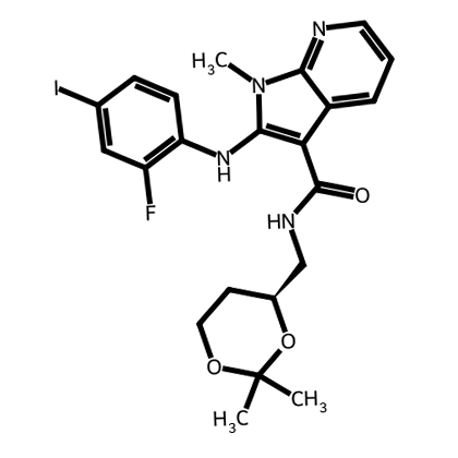 Cn1c(Nc2ccc(I)cc2F)c(C(=O)NC[C@@H]2CCOC(C)(C)O2)c2cccnc21